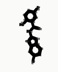 O=C(Nc1nc2cc(Br)ccc2s1)c1cc(Br)ccc1O